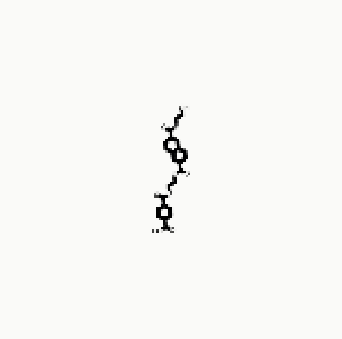 O=C(O)c1ccc(C(=O)OCCOC(=O)c2ccc3cc(C(=O)OCCO)ccc3c2)cc1